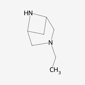 CCN1CC2CC(C1)N2